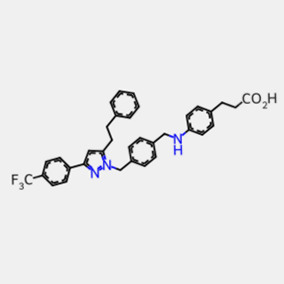 O=C(O)CCc1ccc(NCc2ccc(Cn3nc(-c4ccc(C(F)(F)F)cc4)cc3CCc3ccccc3)cc2)cc1